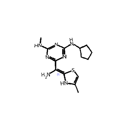 CNc1nc(NC2CCCC2)nc(/C(N)=C2/NC(C)=CS2)n1